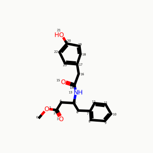 COC(=O)CC(Cc1ccccc1)NC(=O)Cc1ccc(O)cc1